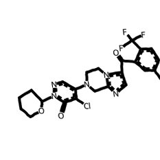 O=C(c1cc(F)ccc1C(F)(F)F)c1cnc2n1CCN(c1cnn(C3CCCCO3)c(=O)c1Cl)C2